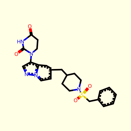 O=C1CCN(c2cnn3ccc(CC4CCN(S(=O)(=O)Cc5ccccc5)CC4)cc23)C(=O)N1